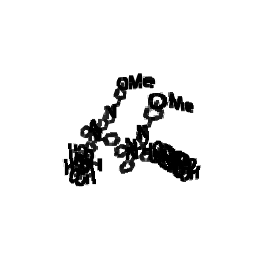 COc1ccc(CCN2CCC(Cc3nc4ccccc4n3C(c3ccccc3)c3ccccc3)CC2)cc1.COc1ccc(CCN2CCC(Cc3nc4ccccc4n3C(c3ccccc3)c3ccccc3)CC2)cc1.O=C(O)C(=O)O.O=C(O)C(=O)O.O=C(O)C(=O)O.O=C(O)C(=O)O.O=C(O)C(=O)O